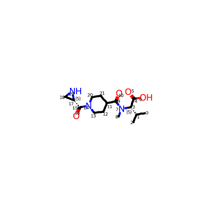 CC(C)[C@@H](C(=O)O)N(C)C(=O)C1CCN(C(=O)[C@@H]2CN2)CC1